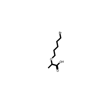 CC(OCCCCCBr)C(=O)O